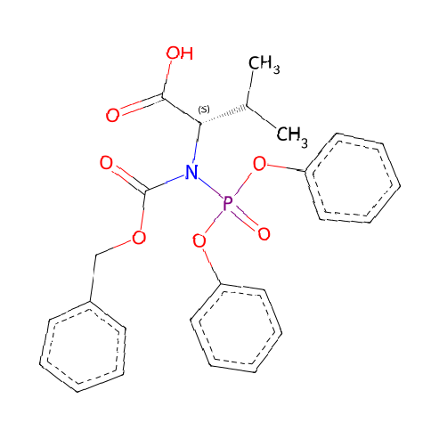 CC(C)[C@@H](C(=O)O)N(C(=O)OCc1ccccc1)P(=O)(Oc1ccccc1)Oc1ccccc1